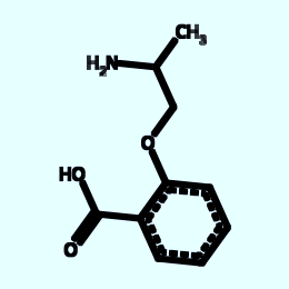 CC(N)COc1ccccc1C(=O)O